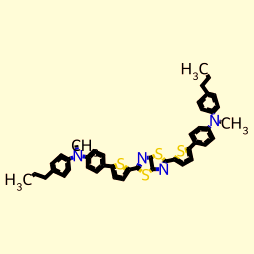 CCCc1ccc(N(C)c2ccc(-c3ccc(C4=NC5SC(c6ccc(-c7ccc(N(C)c8ccc(CCC)cc8)cc7)s6)=NC5S4)s3)cc2)cc1